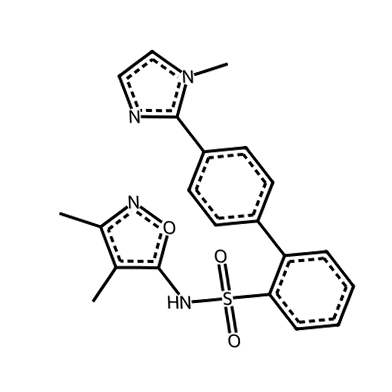 Cc1noc(NS(=O)(=O)c2ccccc2-c2ccc(-c3nccn3C)cc2)c1C